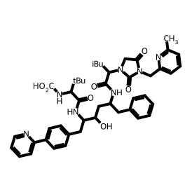 CCC(C)C(C(=O)NC(Cc1ccccc1)CC(O)C(Cc1ccc(-c2ccccn2)cc1)NC(=O)C(NC(=O)O)C(C)(C)C)N1CC(=O)N(Cc2cccc(C)n2)C1=O